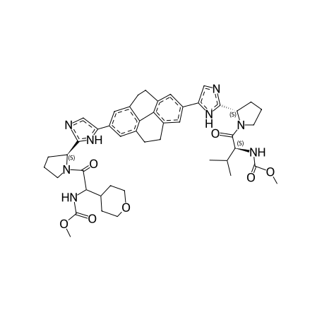 COC(=O)NC(C(=O)N1CCC[C@H]1c1ncc(-c2cc3c4c(c2)CCc2cc(-c5cnc([C@@H]6CCCN6C(=O)[C@@H](NC(=O)OC)C(C)C)[nH]5)cc(c2-4)CC3)[nH]1)C1CCOCC1